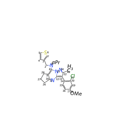 CCCN(Cc1ccsc1)c1c2c(nc3c(-c4ccc(OC)cc4Cl)c(C)nn13)CCC2